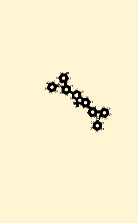 CC1(C)c2cc(-c3ccc4c(c3)c3ccccc3n4-c3ccccc3)ccc2C2=CC=C(c3ccc4c(c3)c3ccccc3n4-c3ccccc3)CC21